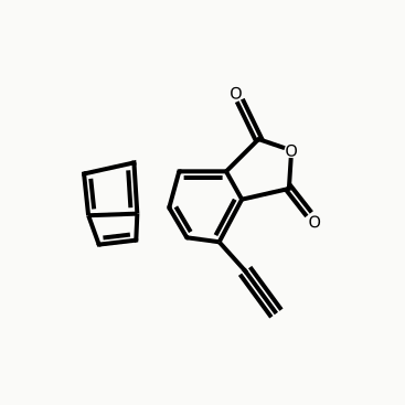 C#Cc1cccc2c1C(=O)OC2=O.c1cc2ccc1-2